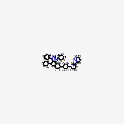 c1ccc(-c2cc3ccc(-c4ccc(-c5cccc(-c6ccccn6)n5)cc4)cc3c3c2c(-c2ccccc2)nn3-c2ccccc2)cc1